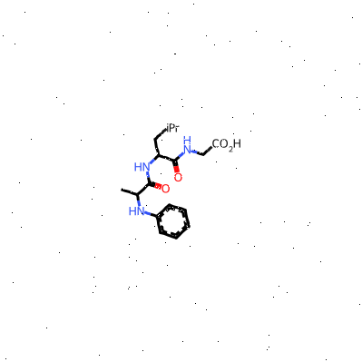 CC(C)CC(NC(=O)C(C)Nc1ccccc1)C(=O)NCC(=O)O